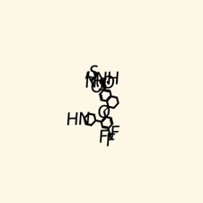 O=S(=O)(Nc1nccs1)c1ccc2c(c1)CCC[C@H]2Oc1ccc(C(F)(F)F)cc1C1CCNCC1